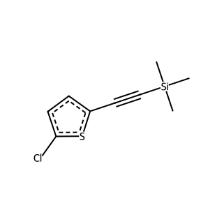 C[Si](C)(C)C#Cc1ccc(Cl)s1